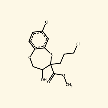 COC(=O)C1(CCCCl)Sc2cc(Cl)ccc2OCC1O